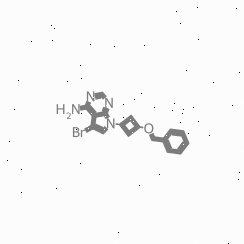 Nc1ncnc2c1c(Br)cn2[C@H]1C[C@@H](OCc2ccccc2)C1